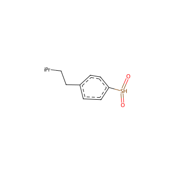 CC(C)CCc1ccc([SH](=O)=O)cc1